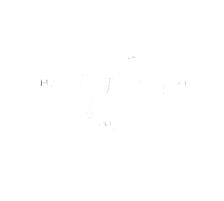 COc1ccc(C(=N)c2cccc(Cl)c2)cc1OC